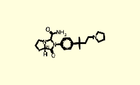 CC(C)(CCN1CCCC1)c1ccc(N2C(=O)[C@@H]3[CH]CCN3C2C(N)=O)cc1